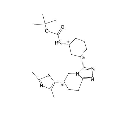 Cc1nc(C)c([C@H]2CCc3nnc([C@H]4CCC[C@@H](NC(=O)OC(C)(C)C)C4)n3C2)s1